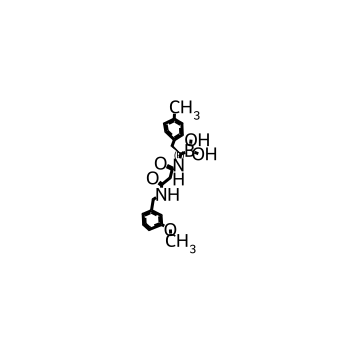 COc1cccc(CNC(=O)CC(=O)N[C@@H](Cc2ccc(C)cc2)B(O)O)c1